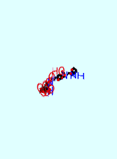 CC(=O)O[C@H]1[C@H](C)O[C@@H](ONC(=O)/C=C/c2ccc(CN(CCO)CCc3c[nH]c4ccccc34)cc2)C[C@@H]1OC(C)=O